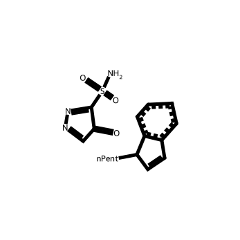 CCCCCC1C=Cc2ccccc21.NS(=O)(=O)C1=NN=CC1=O